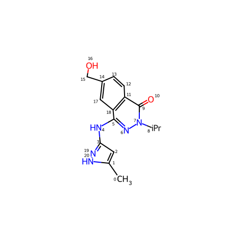 Cc1cc(Nc2nn(C(C)C)c(=O)c3ccc(CO)cc23)n[nH]1